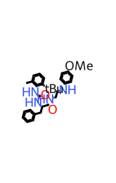 COc1ccc(NCCNC(=O)C(Cc2ccccc2)NC(=O)Nc2c(C)cccc2C(C)(C)C)cc1